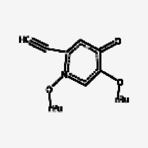 C#Cc1cc(=O)c(OCCCC)cn1OCCCC